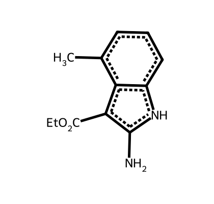 CCOC(=O)c1c(N)[nH]c2cccc(C)c12